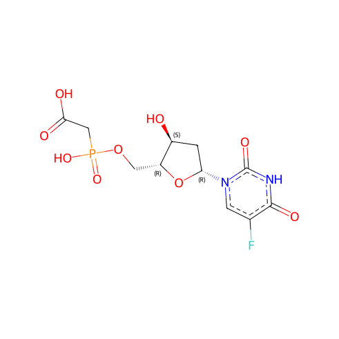 O=C(O)CP(=O)(O)OC[C@H]1O[C@@H](n2cc(F)c(=O)[nH]c2=O)C[C@@H]1O